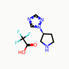 O=C(O)C(F)(F)F.c1ncn([C@H]2CCNC2)n1